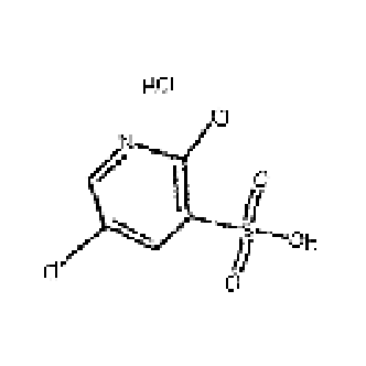 Cl.O=S(=O)(O)c1cc(Cl)cnc1Cl